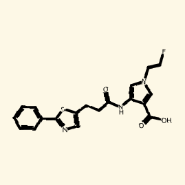 O=C(CCc1cnc(-c2ccccc2)s1)Nc1cn(CCF)cc1C(=O)O